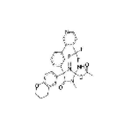 CC(=O)OC1(N)NC(c2cccc(-c3cnccc3C(F)(F)F)c2)(c2ccc3c(c2)CCCO3)C(=O)N1C